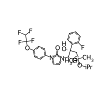 CC(C)O[Si](C)(C)C[C@](O)(c1ccccc1F)[C@@H](C)n1ccn(-c2ccc(OC(F)(F)C(F)F)cc2)c1=O